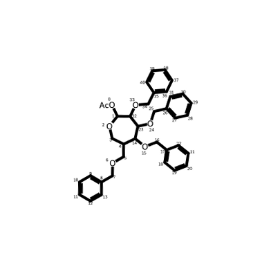 CC(=O)OC1OCC(COCc2ccccc2)C(OCc2ccccc2)C(OCc2ccccc2)C1OCc1ccccc1